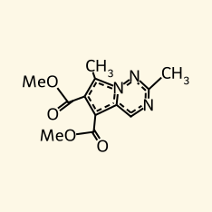 COC(=O)c1c(C(=O)OC)c2cnc(C)nn2c1C